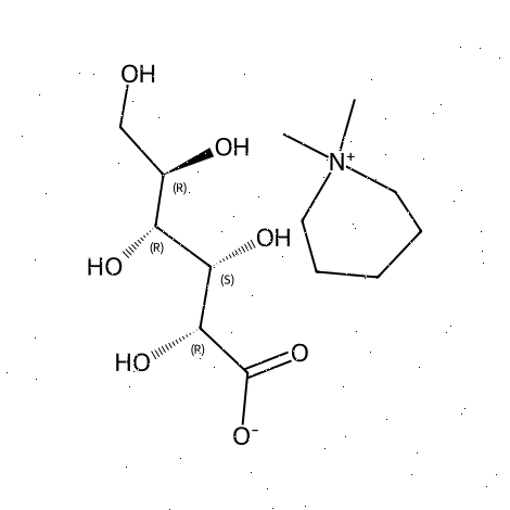 C[N+]1(C)CCCCC1.O=C([O-])[C@H](O)[C@@H](O)[C@H](O)[C@H](O)CO